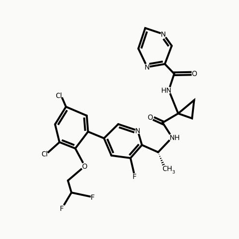 C[C@@H](NC(=O)C1(NC(=O)c2cnccn2)CC1)c1ncc(-c2cc(Cl)cc(Cl)c2OCC(F)F)cc1F